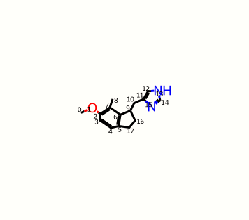 COc1ccc2c(c1C)C(Cc1c[nH]cn1)CC2